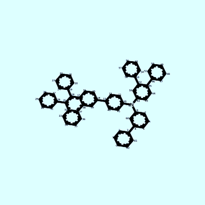 c1ccc(-c2cccc(N(c3ccc(-c4ccc5c(-c6ccccc6)c(-c6ccccc6)c6ccccc6c5c4)cc3)c3ccc(-c4ccccc4)c(-c4ccccc4)c3)c2)cc1